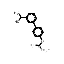 CCOC(=O)[C@@H](C)Oc1ccc(-c2cccc(C(C)O)c2)cc1